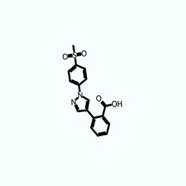 CS(=O)(=O)c1ccc(-n2cc(-c3ccccc3C(=O)O)cn2)cc1